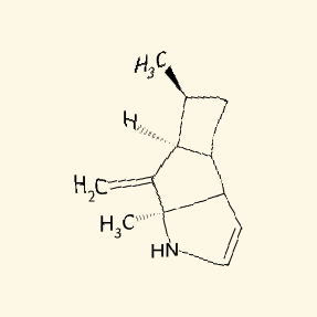 C=C1[C@@H]2C(C[C@@H]2C)C2C=CN[C@@]12C